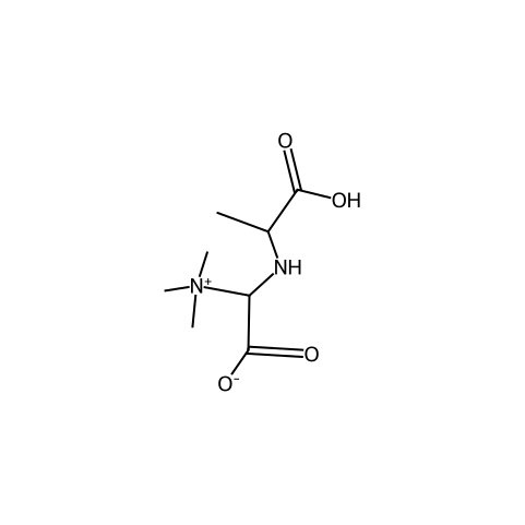 CC(NC(C(=O)[O-])[N+](C)(C)C)C(=O)O